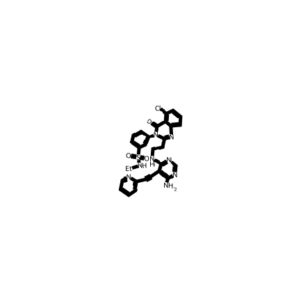 CCNS(=O)(=O)c1cccc(-n2c(CCNc3ncnc(N)c3C#Cc3ccccn3)nc3cccc(Cl)c3c2=O)c1